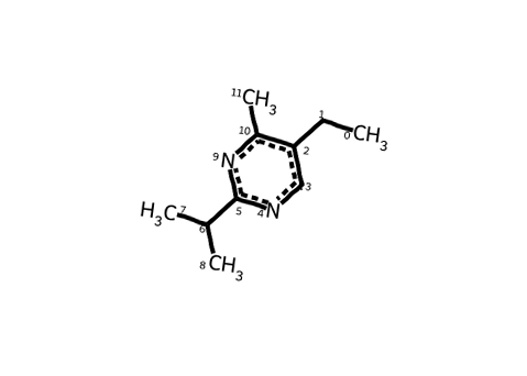 CCc1[c]nc(C(C)C)nc1C